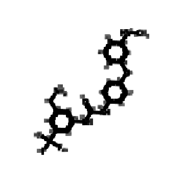 CNc1cc(Oc2ccc(NC(=O)Nc3cc(CN)cc(C(F)(F)F)c3)cc2)ncn1